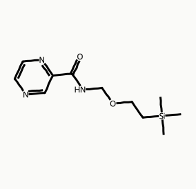 C[Si](C)(C)CCOCNC(=O)c1cnccn1